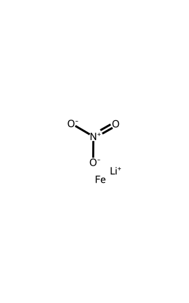 O=[N+]([O-])[O-].[Fe].[Li+]